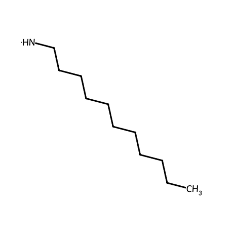 CCCCCCCCCCC[NH]